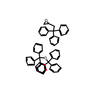 [CH](C1CO1)C(c1ccccc1)(c1ccccc1)c1ccccc1.c1ccc(C(OC(c2ccccc2)(c2ccccc2)c2ccccc2)(c2ccccc2)c2ccccc2)cc1